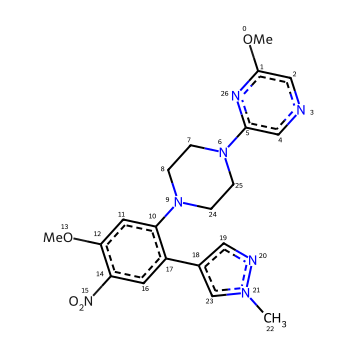 COc1cncc(N2CCN(c3cc(OC)c([N+](=O)[O-])cc3-c3cnn(C)c3)CC2)n1